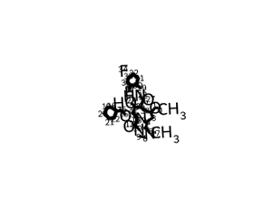 COC1CC2C3N(C)CCN3C(=O)C3=C(OCc4ccccc4)C(O)C(C(=O)NCc4ccc(F)cc4F)=C1N32